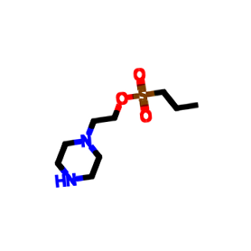 CCCS(=O)(=O)OCCN1CCNCC1